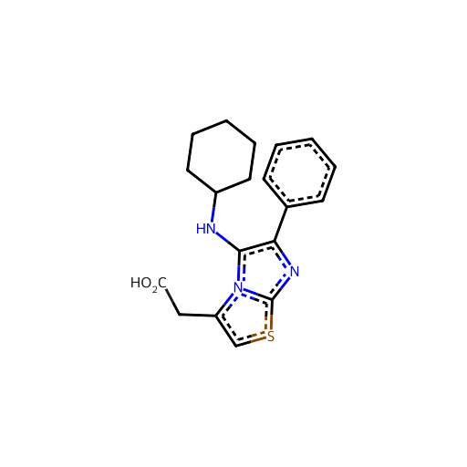 O=C(O)Cc1csc2nc(-c3ccccc3)c(NC3CCCCC3)n12